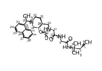 C#CCC(C)(C)NC(=O)CNC(=O)CN(CC1CCN(C(C)c2cccc3ccccc23)CC1)[SH](=O)=O